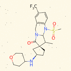 CC1C2N(Cc3cc(C(F)(F)F)ccc3N2S(C)(=O)=O)C(=O)[C@]12CC[C@@H](NC1CCOCC1)C2